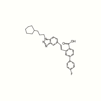 O=C(O)c1ccc(-c2ccc(F)cc2)cc1C=Cc1ccc2c(c1)nnn2CCCC1CCCCC1